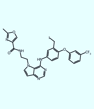 Cc1nc(C(=O)NCCn2ccc3ncnc(Nc4ccc(Oc5cccc(C(F)(F)F)c5)c(CI)c4)c32)co1